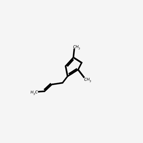 CC=CCC1=C(C)CC(C)=C1